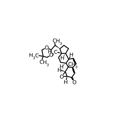 CC(C1OCC(C)(C)CO1)[C@H]1CC[C@H]2[C@@H]3C=CC4=CC(=O)[C@@H]5O[C@@H]5[C@]4(C)[C@H]3CC[C@]12C